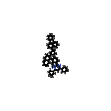 c1ccc(-c2cc(-c3ccccc3)nc(-c3cccc(-c4c(-c5cccc(-c6ccc7c8c(cccc68)-c6ccccc6-7)c5)ccc5ccccc45)c3)n2)cc1